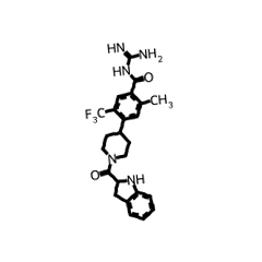 Cc1cc(C2CCN(C(=O)C3Cc4ccccc4N3)CC2)c(C(F)(F)F)cc1C(=O)NC(=N)N